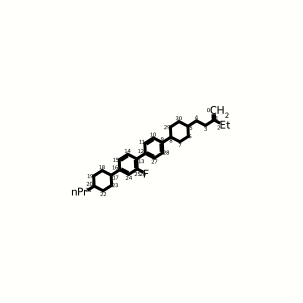 C=C(CC)CCC1CCC(c2ccc(-c3ccc(C4CCC(CCC)CC4)cc3F)cc2)CC1